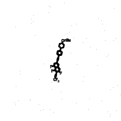 CCCCOC1CCC(c2ccc(C#Cc3cc(F)c4c(F)c(C#CC(F)(F)F)c(F)cc4c3)cc2)CC1